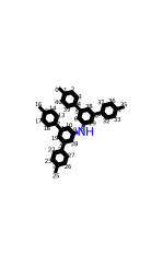 Cc1ccc(-c2cc(Nc3cc(-c4ccc(C)cc4)cc(-c4ccc(C)cc4)c3)cc(-c3ccc(C)cc3)c2)cc1